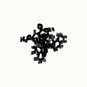 CC(C)C[C@H](N)C(=O)O.O=C(O)[C@H](Cc1cccc2ccccc12)NS(=O)(=O)c1cccc2cccnc12